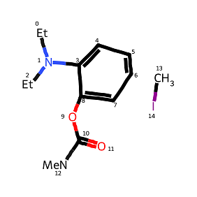 CCN(CC)c1ccccc1OC(=O)NC.CI